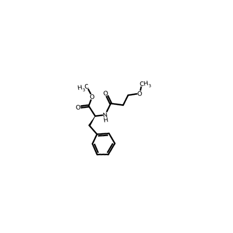 COCCC(=O)N[C@@H](Cc1ccccc1)C(=O)OC